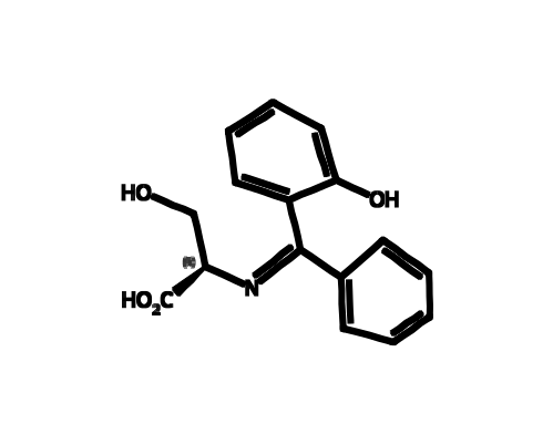 O=C(O)[C@@H](CO)N=C(c1ccccc1)c1ccccc1O